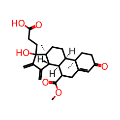 C=C1C(=C)C(O)(CCC(=O)O)[C@@]2(C)CC[C@@H]3[C@@H](C(C(=O)OC)CC4=CC(=O)CC[C@@]43C)[C@H]12